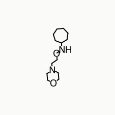 C1CCCC(NOCCN2CCOCC2)CC1